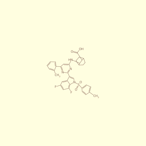 Cc1ccc(S(=O)(=O)n2cc(-c3nc(NC4C5CCC(CC5)C4C(=O)O)cc(-c4ccccc4C)n3)c3cc(F)cc(F)c32)cc1